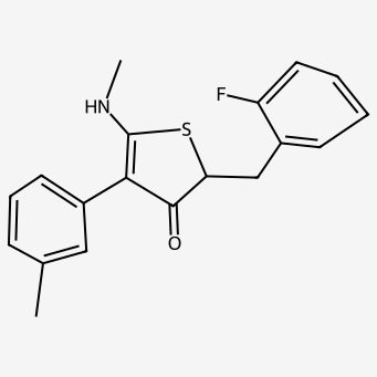 CNC1=C(c2cccc(C)c2)C(=O)C(Cc2ccccc2F)S1